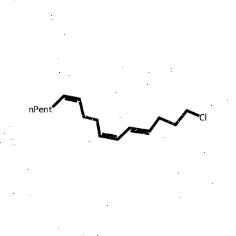 CCCCC/C=C\CC/C=C\C=C\CCCCl